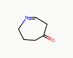 O=C1CC=NCCC1